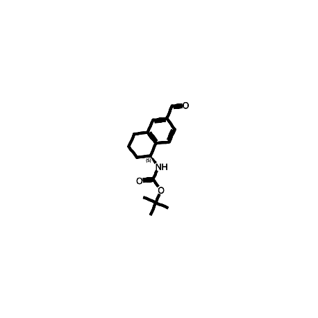 CC(C)(C)OC(=O)N[C@H]1CCCc2cc(C=O)ccc21